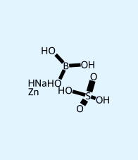 O=S(=O)(O)O.OB(O)O.[NaH].[Zn]